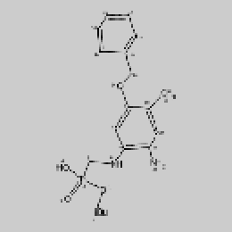 CCC(C)OP(=O)(O)CNc1cc(OCc2ccccc2)c(C(F)(F)F)cc1N